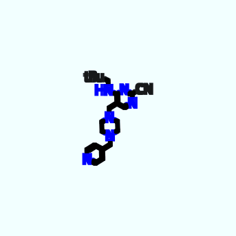 CC(C)(C)CNc1nc(C#N)ncc1CN1CCN(Cc2ccncc2)CC1